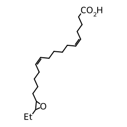 CCC1OC1CCCC/C=C\CCCC/C=C\CCCC(=O)O